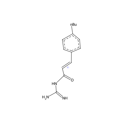 CCCCc1ccc(/C=C/C(=O)NC(=N)N)cc1